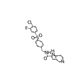 O=C(NCc1ccc(S(=O)(=O)c2ccc(Cl)c(F)c2)cc1)c1cc2cnccc2[nH]1